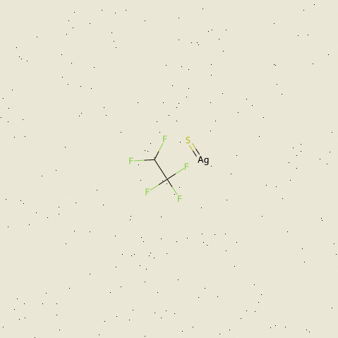 F[C](F)C(F)(F)F.[S]=[Ag]